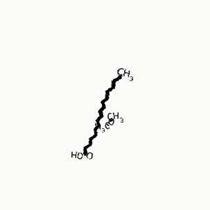 CCCCCCCCC=CCCCCCCCC(=O)O.COC